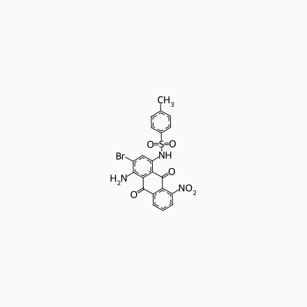 Cc1ccc(S(=O)(=O)Nc2cc(Br)c(N)c3c2C(=O)c2c(cccc2[N+](=O)[O-])C3=O)cc1